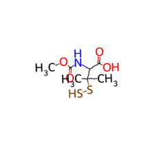 COC(=O)NC(C(=O)O)C(C)(C)SS